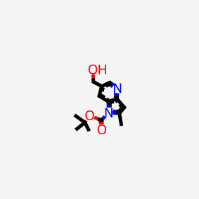 Cc1cc2ncc(CO)cc2n1C(=O)OC(C)(C)C